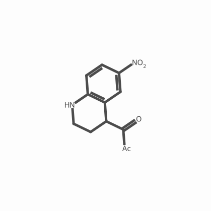 CC(=O)C(=O)C1CCNc2ccc([N+](=O)[O-])cc21